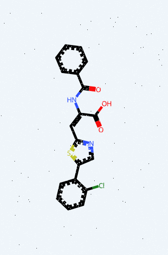 O=C(O)/C(=C\c1ncc(-c2ccccc2Cl)s1)NC(=O)c1ccccc1